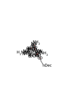 CCCCCCCCCCCCCCCCCC(=O)OCCSP(=O)(O)OC1[C@@H](OC)[C@@H](COP(=O)(O)OC2[C@@H](O)[C@@H](COP(=O)(O)OC3[C@@H](OC)[C@@H](COP(=O)(O)OCCO)O[C@H]3n3cnc4c(N)ncnc43)O[C@H]2n2cnc3c(N)ncnc32)O[C@H]1n1cnc2c(N)ncnc21